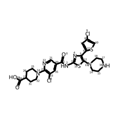 O=C(Nc1nc(-c2cc(Cl)cs2)c(N2CCNCC2)s1)c1cnc(N2CCC(C(=O)O)CC2)c(Cl)c1